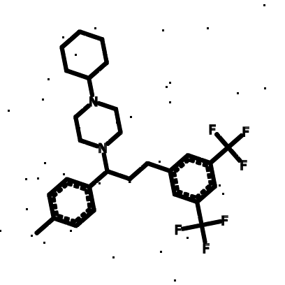 Cc1ccc(C([CH]Cc2cc(C(F)(F)F)cc(C(F)(F)F)c2)N2CCN(C3CCCCC3)CC2)cc1